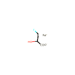 O=C([O-])C(O)CF.[Na+]